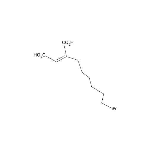 CC(C)CCCCCCC(=CC(=O)O)C(=O)O